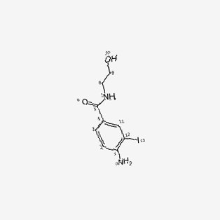 Nc1ccc(C(=O)NCCO)cc1I